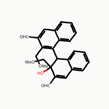 COCc1c(C=O)cc2ccccc2c1C1c2ccccc2C=C(C=O)C1(O)COC